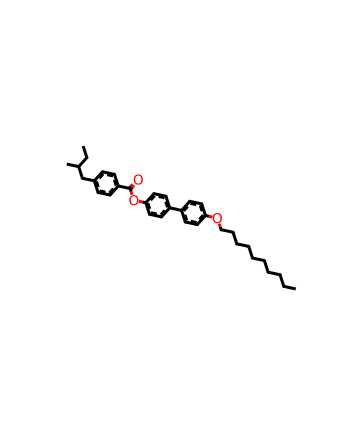 CCCCCCCCCCOc1ccc(-c2ccc(OC(=O)c3ccc(CC(C)CC)cc3)cc2)cc1